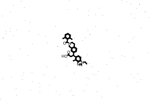 CCn1nnc2c(C)c(C(CC(=O)O)c3ccc4c(c3)CN(C(=O)c3c(C)cccc3C)CC4)ccc21